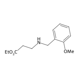 CCOC(=O)CCNCc1ccccc1OC